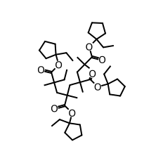 CCC1(OC(=O)C(C)(C)CC(C)(CC(C)(CC(C)(CC)C(=O)OC2(CC)CCCC2)C(=O)OC2(CC)CCCC2)C(=O)OC2(CC)CCCC2)CCCC1